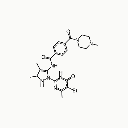 CCc1c(C)nc(N2NC(C)C(C)=C2NC(=O)c2ccc(C(=O)N3CCN(C)CC3)cc2)[nH]c1=O